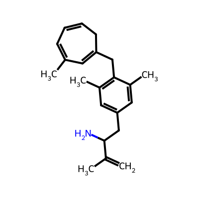 C=C(C)C(N)Cc1cc(C)c(CC2=CC(C)=CC=CC2)c(C)c1